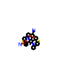 Cc1c(-c2ccc(C#N)cc2)c(-n2c3ccccc3c3ccc4sc5ccccc5c4c32)c(-c2ccc(C#N)cc2)c(C)c1-n1c2ccccc2c2ccc3sc4ccccc4c3c21